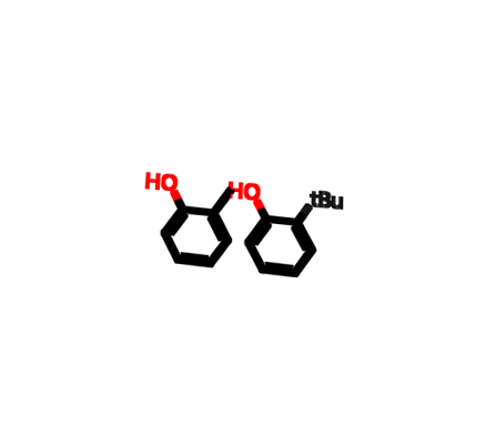 CC(C)(C)c1ccccc1O.Cc1ccccc1O